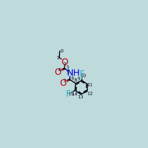 CCOC(=O)NC(=O)c1c(F)cccc1F